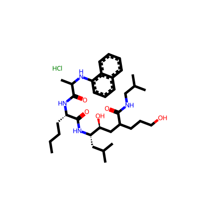 CCCC[C@H](NC(=O)C(C)Nc1cccc2ccccc12)C(=O)N[C@@H](CC(C)C)[C@@H](O)CC(CCCO)C(=O)NCC(C)C.Cl